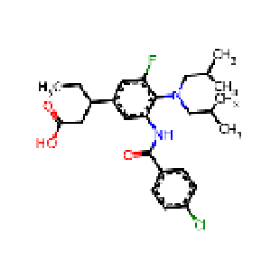 CCC(CC(=O)O)c1cc(F)c(N(CC(C)C)CC(C)C)c(NC(=O)c2ccc(Cl)cc2)c1